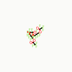 O=C(OC(F)(F)C(F)(OC(F)(OC(F)(C(F)(F)F)C(F)(F)OC(=O)C(F)(F)F)C(F)(F)F)C(F)(F)F)C(F)(F)F